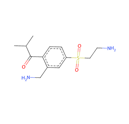 CC(C)C(=O)c1ccc(S(=O)(=O)CCN)cc1CN